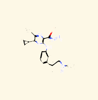 CCc1nc(C(N)=O)c(Nc2cccc([C@@H](C)CNC(=O)O)c2)nc1C1CC1